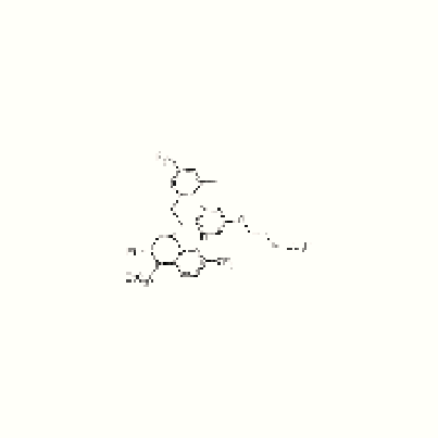 CCOC(=O)N1c2ccc(C(F)(F)F)cc2[C@@H](N(Cc2cc(C)cc(C(F)(F)F)c2)c2ncc(OCCCC(=O)O)cn2)C[C@H]1CC